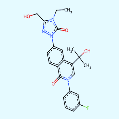 CCn1c(CO)nn(-c2ccc3c(=O)n(-c4cccc(F)c4)cc(C(C)(C)O)c3c2)c1=O